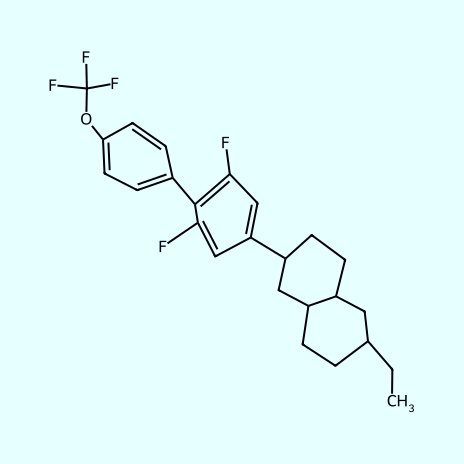 CCC1CCC2CC(c3cc(F)c(-c4ccc(OC(F)(F)F)cc4)c(F)c3)CCC2C1